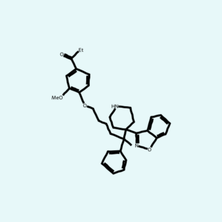 CCC(=O)c1ccc(OCCCCC(C)(c2ccccc2)C2(c3noc4ccccc34)CCNCC2)c(OC)c1